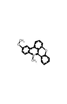 COc1ccc2c(c1)c1cccc3c1c([n+]2C)-c1ccccc1O3